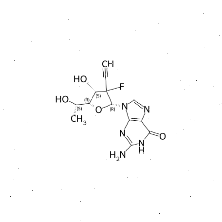 C#CC1(F)[C@@H](O)[C@@H]([C@H](C)O)O[C@H]1n1cnc2c(=O)[nH]c(N)nc21